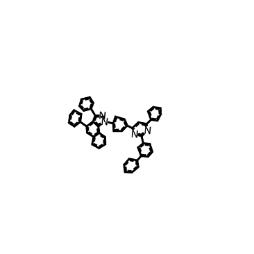 c1ccc(-c2cccc(-c3nc(-c4ccccc4)cc(-c4ccc(-n5nc(-c6ccccc6)c6c(-c7ccccc7)cc7ccccc7c65)cc4)n3)c2)cc1